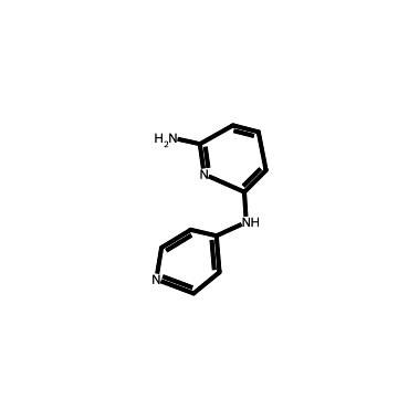 Nc1cccc(Nc2ccncc2)n1